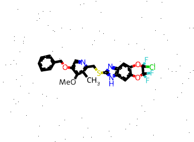 COc1c(OCc2ccccc2)cnc(CSc2nc3cc4c(cc3[nH]2)OC(F)(F)C(F)(Cl)O4)c1C